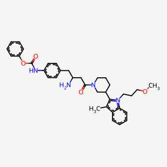 COCCCn1c(C2CCCN(C(=O)CC(N)Cc3ccc(NC(=O)Oc4ccccc4)cc3)C2)c(C)c2ccccc21